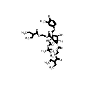 CCC(CC)C(=O)OCOC(=O)[C@H]1[C@@H]2[C@H](O)[C@@H](CSc3ccc(F)c(C)c3)[C@@](NC(=O)OC(C)(C)C)(C(=O)OCOC(=O)C(CC)CC)[C@H]12